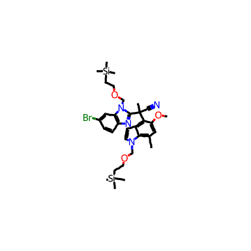 COc1cc(C)c2c(ccn2COCC[Si](C)(C)C)c1C(C)(C#N)c1nc2ccc(Br)cc2n1COCC[Si](C)(C)C